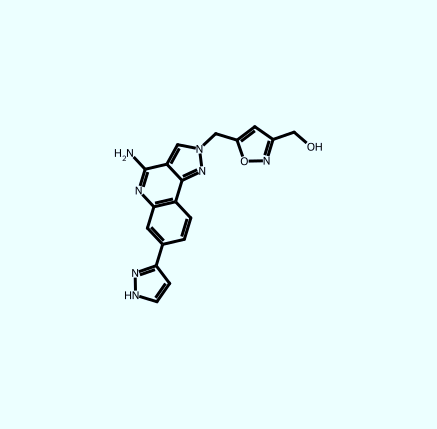 Nc1nc2cc(-c3cc[nH]n3)ccc2c2nn(Cc3cc(CO)no3)cc12